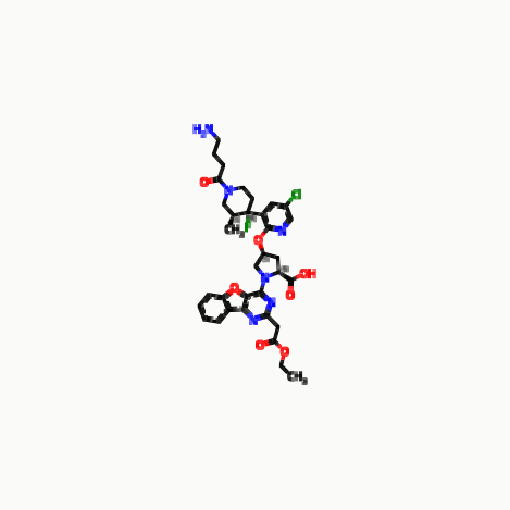 CCOC(=O)Cc1nc(N2C[C@@H](Oc3ncc(Cl)cc3[C@@]3(F)CCN(C(=O)CCCN)C[C@@H]3C)C[C@H]2C(=O)O)c2oc3ccccc3c2n1